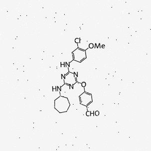 COc1ccc(Nc2nc(NC3CCCCCC3)nc(Oc3ccc(C=O)cc3)n2)cc1Cl